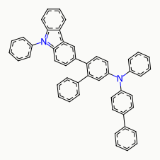 c1ccc(-c2ccc(N(c3ccccc3)c3ccc(-c4ccc5c(c4)c4ccccc4n5-c4ccccc4)c(-c4ccccc4)c3)cc2)cc1